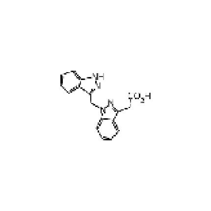 O=C(O)Cc1nn(Cc2n[nH]c3ccccc23)c2ccccc12